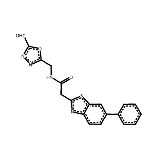 O=Cc1nnc(CNC(=O)Cc2nc3ccc(-c4ccccc4)cc3s2)o1